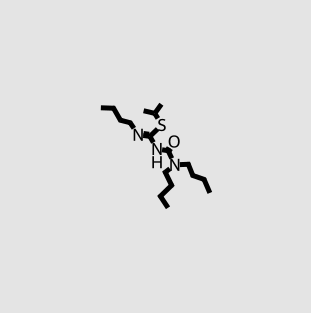 CCCCN=C(NC(=O)N(CCCC)CCCC)SC(C)C